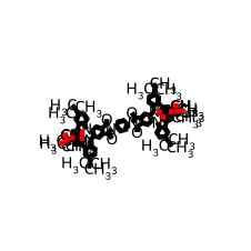 CC(C)(C)c1ccc2c(c1)c1cc(C(C)(C)C)ccc1n2-c1cc2c(cc1-n1c3ccc(C(C)(C)C)cc3c3cc(C(C)(C)C)ccc31)C(=O)N(c1ccc(N3C(=O)c4cc(-n5c6ccc(C(C)(C)C)cc6c6cc(C(C)(C)C)ccc65)c(-n5c6ccc(C(C)(C)C)cc6c6cc(C(C)(C)C)ccc65)cc4C3=O)cc1)C2=O